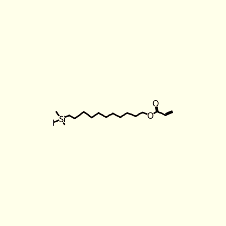 C=CC(=O)OCCCCCCCCCCC[Si](C)(C)I